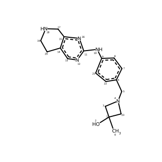 CC1(O)CN(Cc2ccc(Nc3ncc4c(n3)CNCC4)cc2)C1